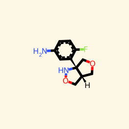 Nc1ccc(F)c([C@@]23COC[C@@H]2CON3)c1